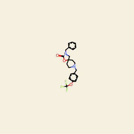 O=C1OC2(CCN(Cc3ccc(OC(F)(F)F)cc3)CC2)CN1Cc1ccccc1